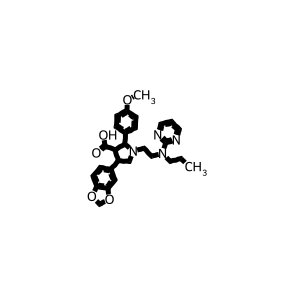 CCCN(CCN1CC(c2ccc3c(c2)OCO3)C(C(=O)O)C1c1ccc(OC)cc1)c1ncccn1